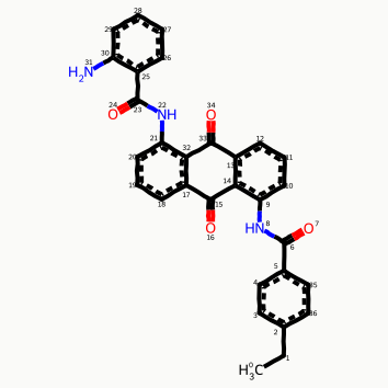 CCc1ccc(C(=O)Nc2cccc3c2C(=O)c2cccc(NC(=O)c4ccccc4N)c2C3=O)cc1